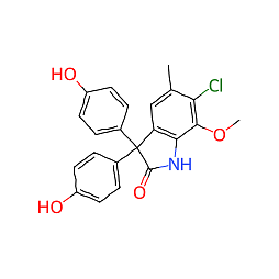 COc1c(Cl)c(C)cc2c1NC(=O)C2(c1ccc(O)cc1)c1ccc(O)cc1